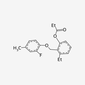 CCC(=O)Oc1cccc(CC)c1COc1ccc(C)cc1F